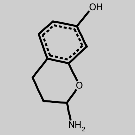 NC1CCc2ccc(O)cc2O1